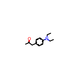 CCN(CC)c1ccc(CC(C)=O)cc1